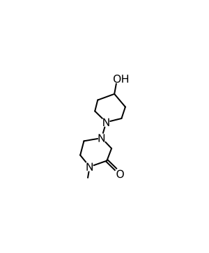 CN1CCN(N2CCC(O)CC2)CC1=O